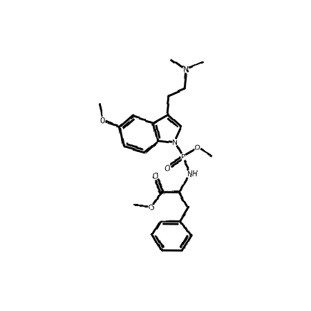 COC(=O)C(Cc1ccccc1)NP(=O)(OC)n1cc(CCN(C)C)c2cc(OC)ccc21